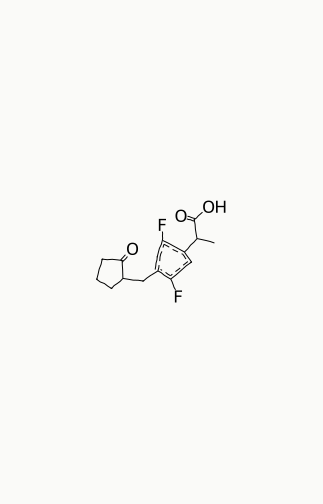 CC(C(=O)O)c1cc(F)c(CC2CCCC2=O)cc1F